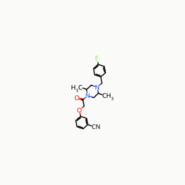 CC1CN(C(=O)COc2cccc(C#N)c2)C(C)CN1Cc1ccc(F)cc1